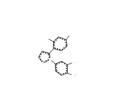 COc1ccc(-n2nccc2-c2ccc(F)cc2F)cc1OC